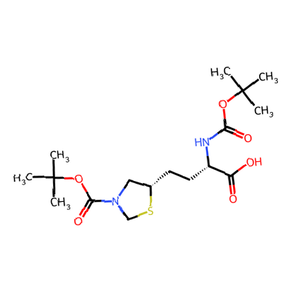 CC(C)(C)OC(=O)N[C@@H](CC[C@H]1CN(C(=O)OC(C)(C)C)CS1)C(=O)O